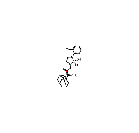 NC(=O)C12CC3CC(C1)C(NC(=O)CN1CCN(c4ccccc4Cl)S1(O)O)C(C3)C2